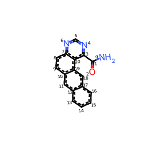 NC(=O)c1ncnc2ccc3cc4ccccc4cc3c12